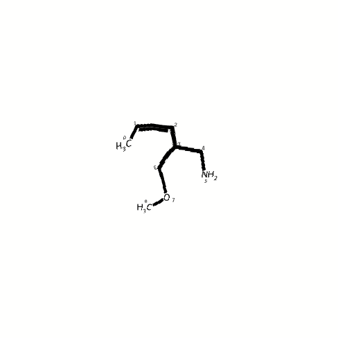 C/C=C\C(CN)COC